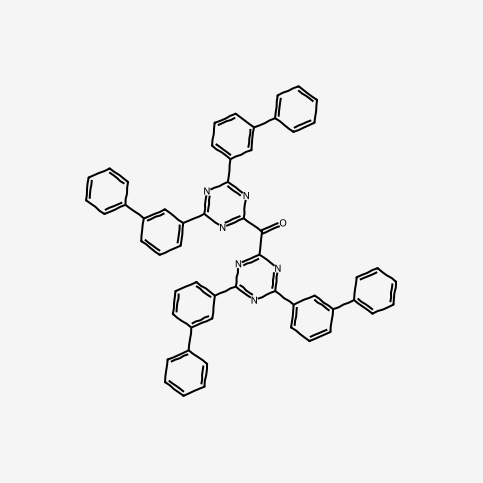 O=C(c1nc(-c2cccc(-c3ccccc3)c2)nc(-c2cccc(-c3ccccc3)c2)n1)c1nc(-c2cccc(-c3ccccc3)c2)nc(-c2cccc(-c3ccccc3)c2)n1